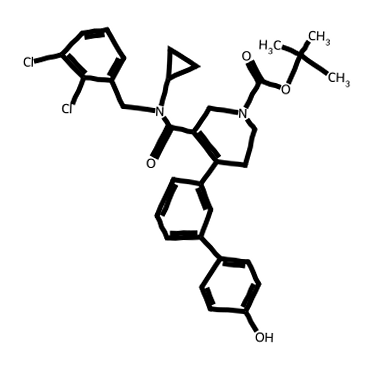 CC(C)(C)OC(=O)N1CCC(c2cccc(-c3ccc(O)cc3)c2)=C(C(=O)N(Cc2cccc(Cl)c2Cl)C2CC2)C1